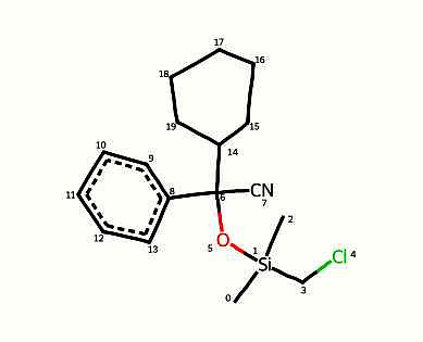 C[Si](C)(CCl)OC(C#N)(c1ccccc1)C1CCCCC1